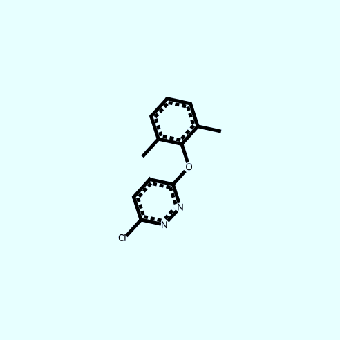 Cc1cccc(C)c1Oc1[c]cc(Cl)nn1